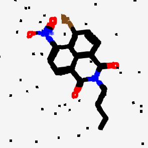 CCCCN1C(=O)c2ccc(Br)c3c([N+](=O)[O-])ccc(c23)C1=O